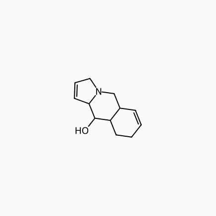 OC1C2CCC=CC2CN2CC=CC12